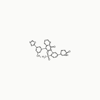 Cc1cc(-c2cnco2)cc(-c2nn(-c3cc(-c4ccc(=O)[nH]c4)ccc3S(C)(=O)=O)c(=O)c3ncccc23)c1